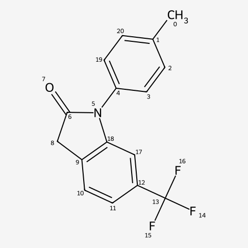 Cc1ccc(N2C(=O)Cc3ccc(C(F)(F)F)cc32)cc1